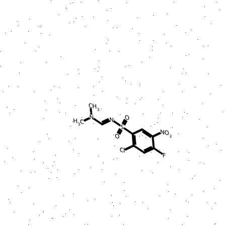 CN(C)C=NS(=O)(=O)c1cc([N+](=O)[O-])c(F)cc1Cl